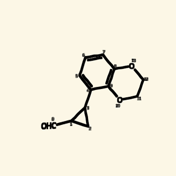 O=CC1CC1c1cccc2c1OCCO2